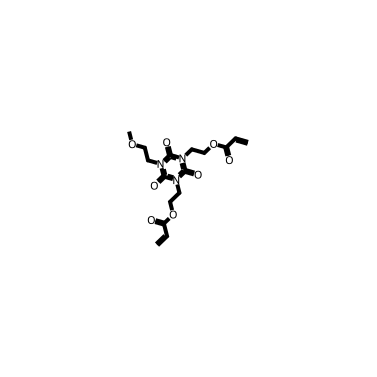 C=CC(=O)OCCn1c(=O)n(CCOC)c(=O)n(CCOC(=O)C=C)c1=O